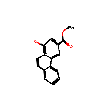 CC(C)(C)OC(=O)c1cc([O])c2ccc3ccccc3c2c1